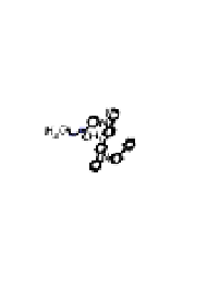 C=C/C=C\C=C(/C)c1cccc(-n2c3cc(-c4ccc5c6ccccc6n(-c6cccc(-c7ccccc7)c6)c5c4)ccc3c3cccnc32)c1